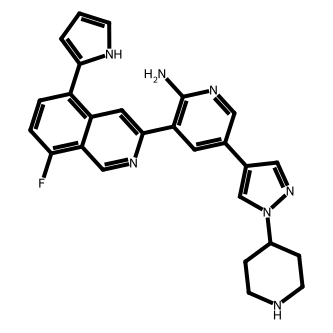 Nc1ncc(-c2cnn(C3CCNCC3)c2)cc1-c1cc2c(-c3ccc[nH]3)ccc(F)c2cn1